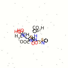 C[N+](C)(C/C=C/C1=C(C(=O)[O-])N2C(=O)[C@@H](NC(=O)CSc3nc4ccccc4s3)[C@H]2SC1)C(CO)CO.O=C(O)C1=CCCC2CCC12